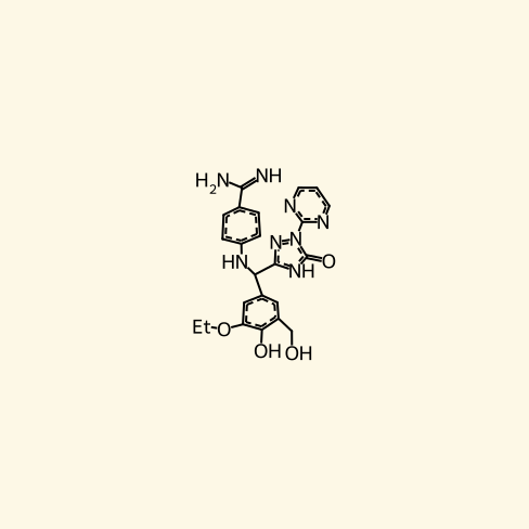 CCOc1cc(C(Nc2ccc(C(=N)N)cc2)c2nn(-c3ncccn3)c(=O)[nH]2)cc(CO)c1O